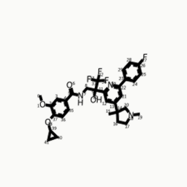 COc1cc(C(=O)NCC(O)(c2cc(C3(C)CCN(C)C3)cc(-c3ccc(F)cc3)n2)C(F)(F)F)ccc1OC1CC1